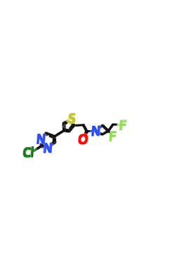 O=C(Cc1cc(-c2cnc(Cl)nc2)cs1)N1CC(F)(CF)C1